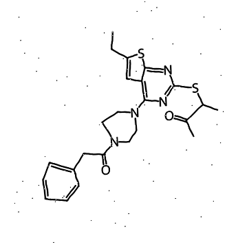 CCc1cc2c(N3CCN(C(=O)Cc4ccccc4)CC3)nc(SC(C)C(C)=O)nc2s1